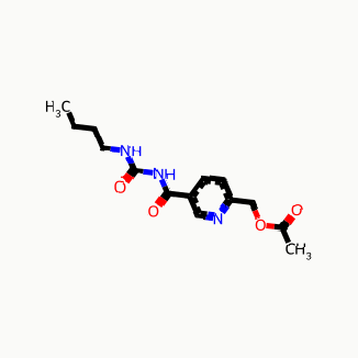 CCCCNC(=O)NC(=O)c1ccc(COC(C)=O)nc1